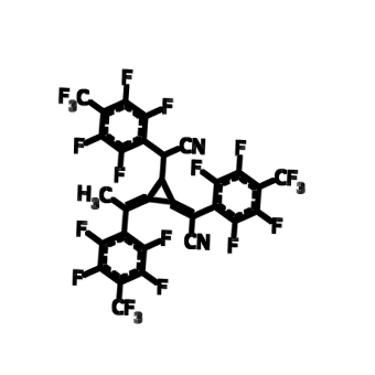 C/C(=C1/C(=C(\C#N)c2c(F)c(F)c(C(F)(F)F)c(F)c2F)C1C(C#N)c1c(F)c(F)c(C(F)(F)F)c(F)c1F)c1c(F)c(F)c(C(F)(F)F)c(F)c1F